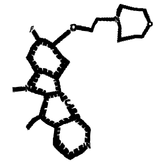 Cc1c2ccncc2cc2c3cc(OCCN4CCOCC4)c(F)cc3n(C)c12